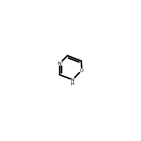 C1=CONC=[N+]1